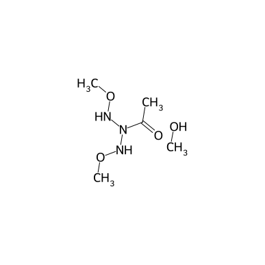 CO.CONN(NOC)C(C)=O